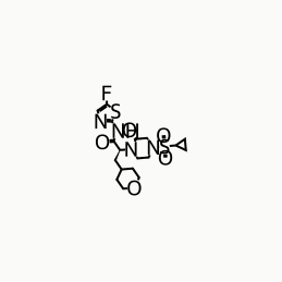 O=C(Nc1ncc(F)s1)[C@H](CC1CCOCC1)N1CCN(S(=O)(=O)C2CC2)CC1=O